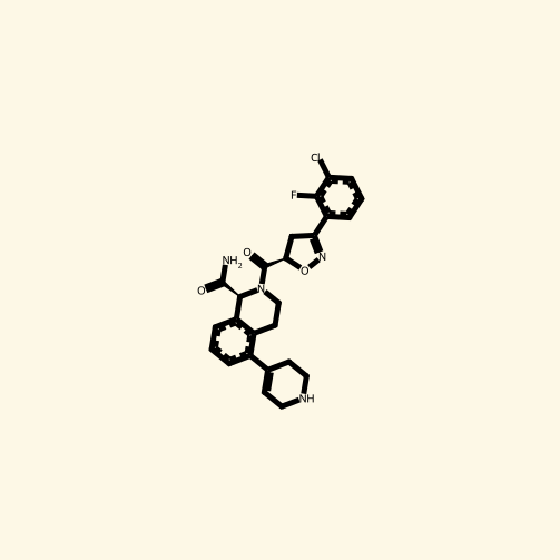 NC(=O)[C@@H]1c2cccc(C3=CCNCC3)c2CCN1C(=O)[C@H]1CC(c2cccc(Cl)c2F)=NO1